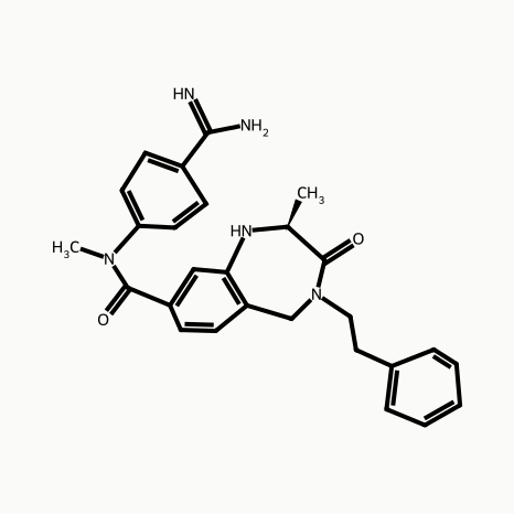 C[C@@H]1Nc2cc(C(=O)N(C)c3ccc(C(=N)N)cc3)ccc2CN(CCc2ccccc2)C1=O